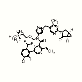 C=Cc1ncc(-c2c(C(F)F)ccc(Cl)c2F)nc1C(=O)N(COCC[Si](C)(C)C)c1cnn(Cc2cnc(N3C[C@H]4C[C@H]4C3=O)nc2C)c1